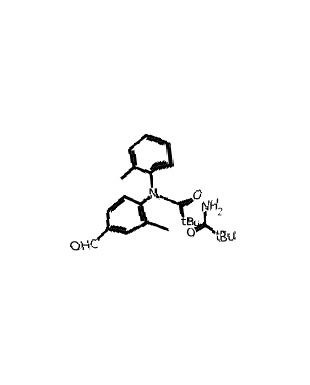 CC(C)(C)C(N)=O.Cc1ccccc1N(C(=O)C(C)(C)C)c1ccc(C=O)cc1C